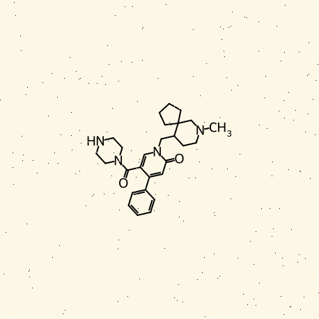 CN1CCC(Cn2cc(C(=O)N3CCNCC3)c(-c3ccccc3)cc2=O)C2(CCCC2)C1